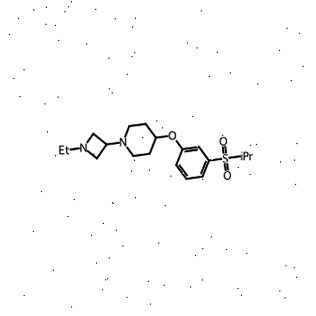 CCN1CC(N2CCC(Oc3cccc(S(=O)(=O)C(C)C)c3)CC2)C1